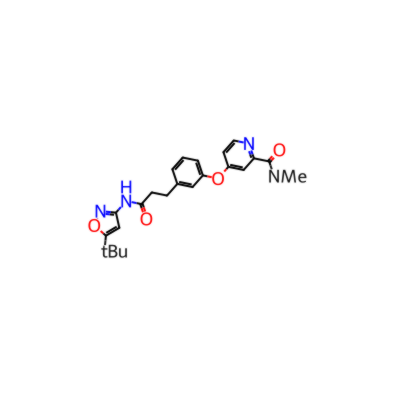 CNC(=O)c1cc(Oc2cccc(CCC(=O)Nc3cc(C(C)(C)C)on3)c2)ccn1